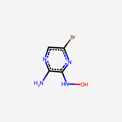 Nc1ncc(Br)nc1NO